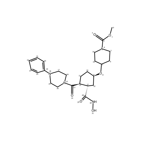 COC(=O)N1CCC(O[C@@H]2CC[C@H](C(=O)N3CCN(c4ccccc4)CC3)[C@@H](C(=O)NO)C2)CC1